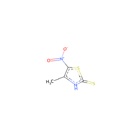 Cc1[nH]c(=S)sc1[N+](=O)[O-]